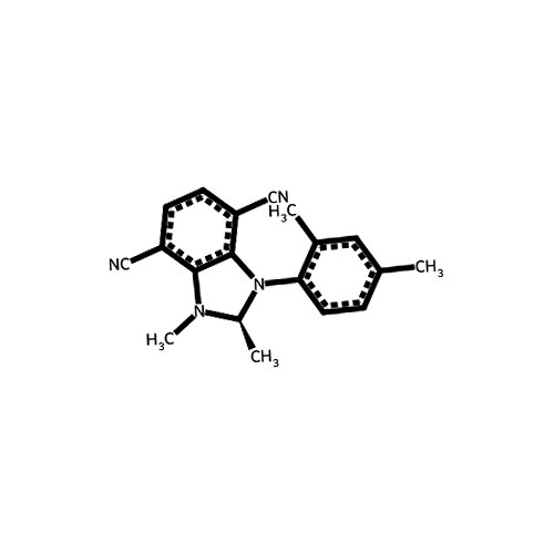 Cc1ccc(N2c3c(C#N)ccc(C#N)c3N(C)[C@@H]2C)c(C)c1